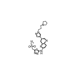 CS(=O)(=O)Cc1nnc(Nc2ccc3ncc(-c4cnn(CCCN5CCCC5)c4)cc3n2)s1